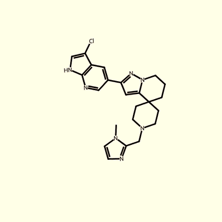 Cn1ccnc1CN1CCC2(CCCn3nc(-c4cnc5[nH]cc(Cl)c5c4)cc32)CC1